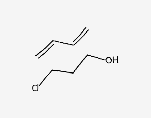 C=CC=C.OCCCCl